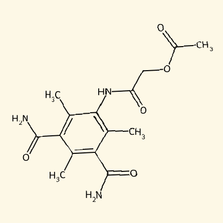 CC(=O)OCC(=O)Nc1c(C)c(C(N)=O)c(C)c(C(N)=O)c1C